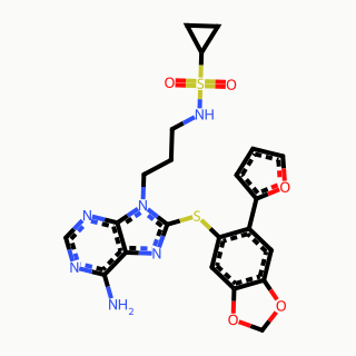 Nc1ncnc2c1nc(Sc1cc3c(cc1-c1ccco1)OCO3)n2CCCNS(=O)(=O)C1CC1